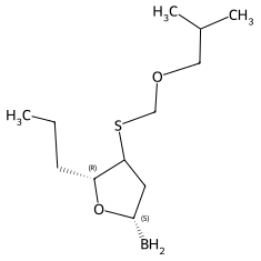 B[C@H]1CC(SCOCC(C)C)[C@@H](CCC)O1